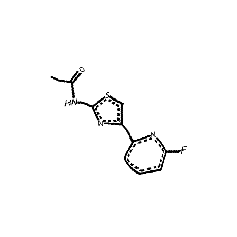 CC(=O)Nc1nc(-c2cccc(F)n2)cs1